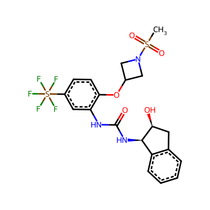 CS(=O)(=O)N1CC(Oc2ccc(S(F)(F)(F)(F)F)cc2NC(=O)N[C@@H]2c3ccccc3C[C@@H]2O)C1